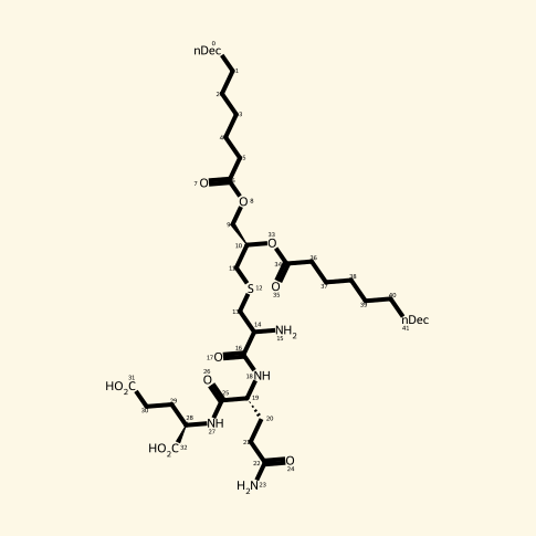 CCCCCCCCCCCCCCCC(=O)OC[C@H](CSCC(N)C(=O)N[C@H](CCC(N)=O)C(=O)N[C@H](CCC(=O)O)C(=O)O)OC(=O)CCCCCCCCCCCCCCC